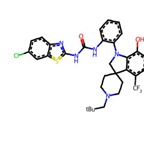 CC(C)(C)CN1CCC2(CC1)CN(c1ccccc1NC(=O)Nc1nc3ccc(Cl)cc3s1)c1c(O)ccc(C(F)(F)F)c12